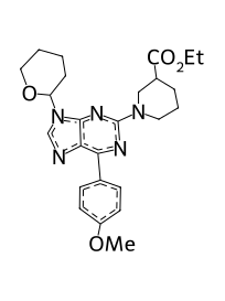 CCOC(=O)C1CCCN(c2nc(-c3ccc(OC)cc3)c3ncn(C4CCCCO4)c3n2)C1